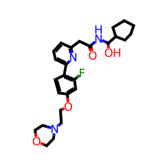 O=C(Cc1cccc(-c2ccc(OCCN3CCOCC3)cc2F)n1)NC(O)C1CCCCC1